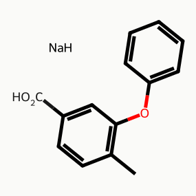 Cc1ccc(C(=O)O)cc1Oc1ccccc1.[NaH]